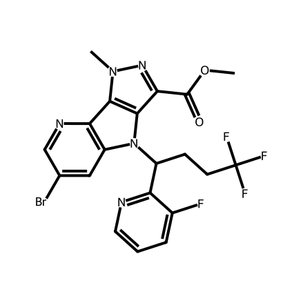 COC(=O)c1nn(C)c2c3ncc(Br)cc3n(C(CCC(F)(F)F)c3ncccc3F)c12